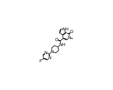 Cn1cc(C(=O)NC2CCN(c3ncc(F)cn3)CC2)c2cc[nH]c2c1=O